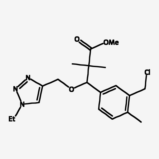 CCn1cc(COC(c2ccc(C)c(CCl)c2)C(C)(C)C(=O)OC)nn1